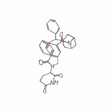 O=C1CCC(N2Cc3cc(C(=O)N4C5CC4CN(C(c4ccccc4)c4ccccc4)C5)ccc3C2=O)C(=O)N1